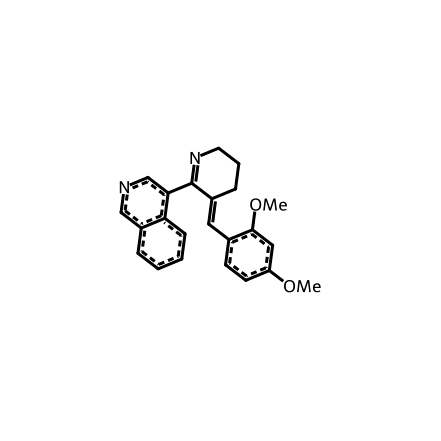 COc1ccc(C=C2CCCN=C2c2cncc3ccccc23)c(OC)c1